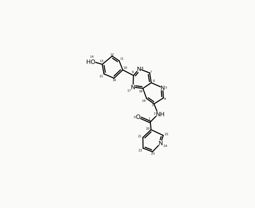 O=C(Nc1cnc2cnc(-c3ccc(O)cc3)nc2c1)c1cccnc1